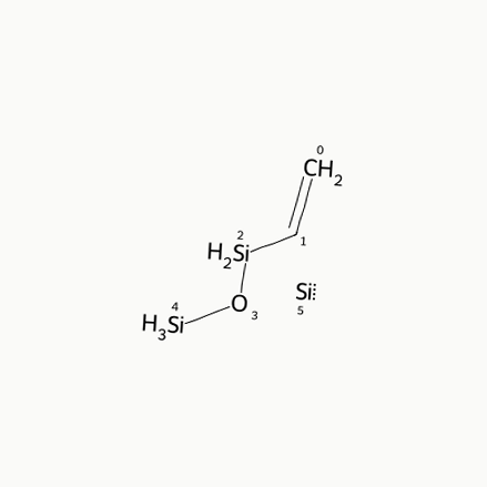 C=C[SiH2]O[SiH3].[Si]